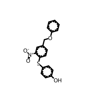 O=[N+]([O-])c1cc(COc2ccccc2)ccc1Sc1ccc(O)cc1